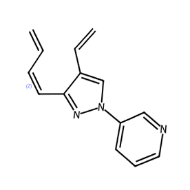 C=C/C=C\c1nn(-c2cccnc2)cc1C=C